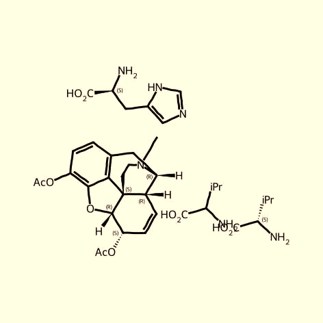 CC(=O)Oc1ccc2c3c1O[C@H]1[C@@H](OC(C)=O)C=C[C@H]4[C@@H](C2)N(C)CC[C@@]341.CC(C)C(N)C(=O)O.CC(C)[C@H](N)C(=O)O.N[C@@H](Cc1cnc[nH]1)C(=O)O